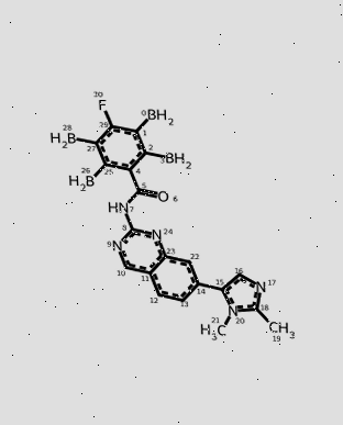 Bc1c(B)c(C(=O)Nc2ncc3ccc(-c4cnc(C)n4C)cc3n2)c(B)c(B)c1F